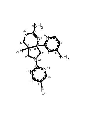 NC1=N[C@]2(c3cc(N)ccn3)CN(c3ncc(F)cn3)C[C@@H]2CS1